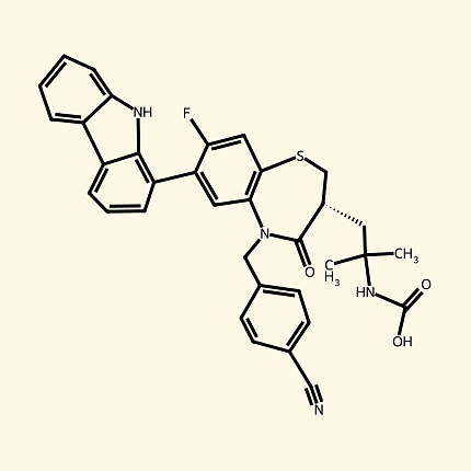 CC(C)(C[C@H]1CSc2cc(F)c(-c3cccc4c3[nH]c3ccccc34)cc2N(Cc2ccc(C#N)cc2)C1=O)NC(=O)O